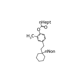 CCCCCCCCCC1(CCc2ccc(OC(=O)CCCCCCC)c(C)c2)CCCCC1